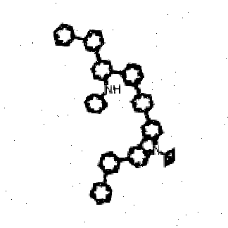 C1=C2C[C@@]12n1c2ccc(-c3ccc(-c4cccc(-c5cc(-c6cccc(-c7ccccc7)c6)ccc5Nc5ccccc5)c4)cc3)cc2c2cc(-c3cccc(-c4ccccc4)c3)ccc21